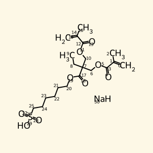 C=C(C)C(=O)OCC(CC)(COC(=O)C(=C)C)C(=O)OCCCCCCS(=O)(=O)O.[NaH]